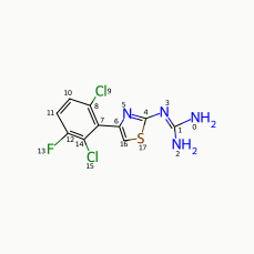 NC(N)=Nc1nc(-c2c(Cl)ccc(F)c2Cl)cs1